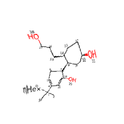 CCCCCCC(C)(C)C1=CCC([C@@H]2C[C@H](O)CC[C@@H]2CCCO)C(O)=C1